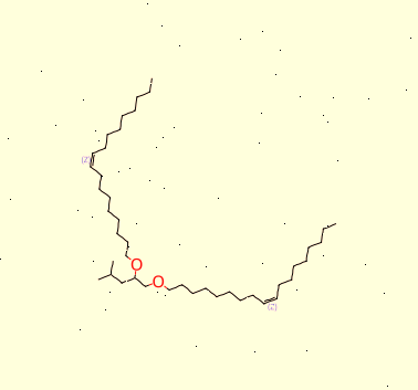 CCCCCCCC/C=C\CCCCCCCCOCC(CC(C)C)OCCCCCCCC/C=C\CCCCCCCC